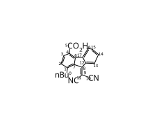 CCCCc1ccc(C(=O)O)c2c1C(=C(C#N)C#N)c1ccccc1-2